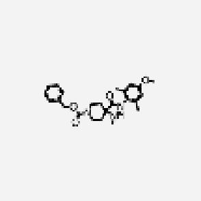 COc1cc(C)c(NC(=O)C2(N(C)C)CCN(C(=O)OCc3ccccc3)CC2)c(C)c1